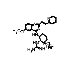 COc1ccc2nc(C=Cc3ccccn3)nc(N[C@H]3CCCC[C@H]3NC(=N)N)c2c1.Cl.Cl.Cl